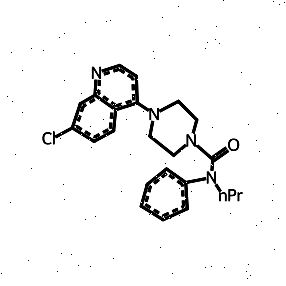 CCCN(C(=O)N1CCN(c2ccnc3cc(Cl)ccc23)CC1)c1ccccc1